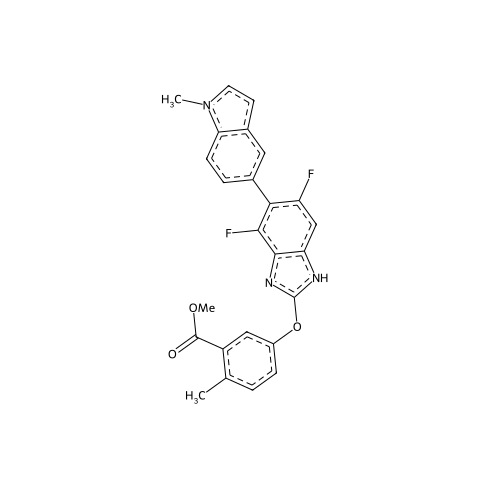 COC(=O)c1cc(Oc2nc3c(F)c(-c4ccc5c(ccn5C)c4)c(F)cc3[nH]2)ccc1C